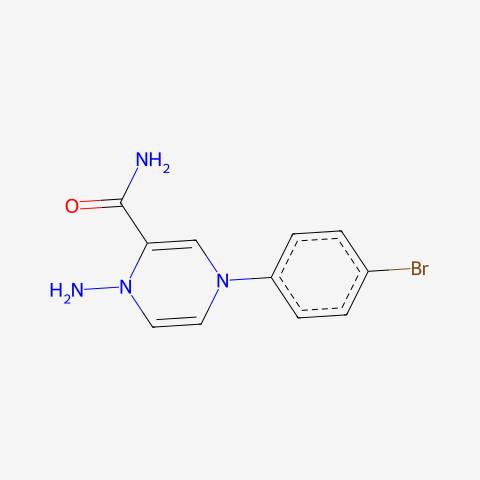 NC(=O)C1=CN(c2ccc(Br)cc2)C=CN1N